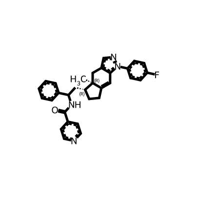 C[C@]12Cc3cnn(-c4ccc(F)cc4)c3C=C1CC[C@@H]2CC(NC(=O)c1ccncc1)c1ccccc1